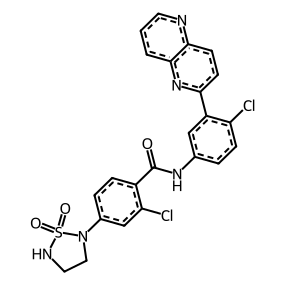 O=C(Nc1ccc(Cl)c(-c2ccc3ncccc3n2)c1)c1ccc(N2CCNS2(=O)=O)cc1Cl